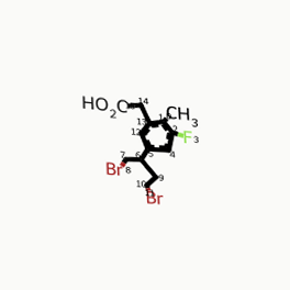 Cc1c(F)cc(C(CBr)CCBr)cc1CC(=O)O